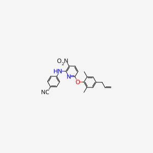 C=CCc1cc(C)c(Oc2ccc([N+](=O)[O-])c(Nc3ccc(C#N)cc3)n2)c(C)c1